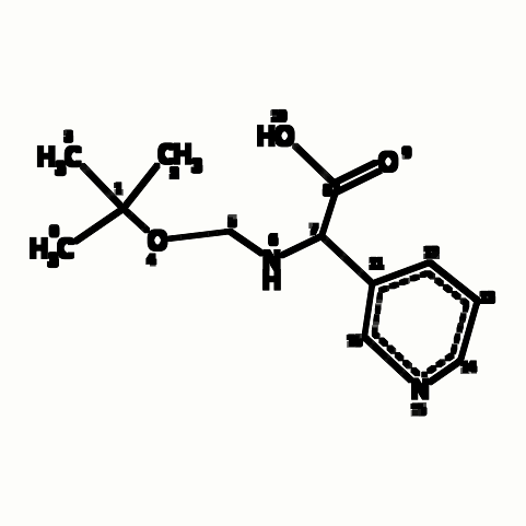 CC(C)(C)OCNC(C(=O)O)c1cccnc1